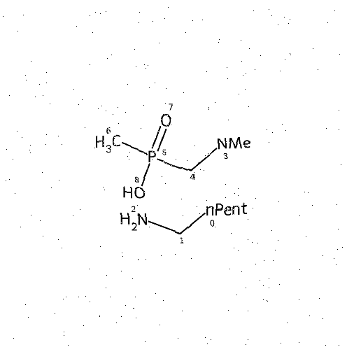 CCCCCCN.CNCP(C)(=O)O